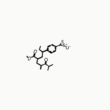 CCC(CC(CC(C)C(=O)C(C)C)C(=O)OC)c1ccc(C2S[S+]2[O-])cc1